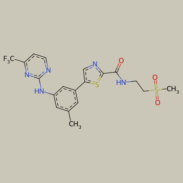 Cc1cc(Nc2nccc(C(F)(F)F)n2)cc(-c2cnc(C(=O)NCCS(C)(=O)=O)s2)c1